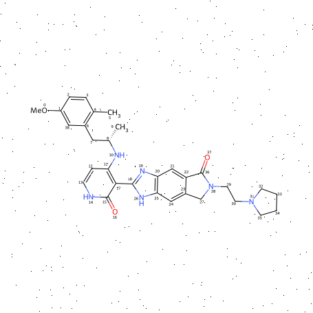 COc1ccc(C)c(C[C@H](C)Nc2cc[nH]c(=O)c2-c2nc3cc4c(cc3[nH]2)CN(CCN2CCCC2)C4=O)c1